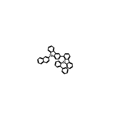 c1ccc(-c2ccccc2-n2c3ccccc3c3cccc(-c4ccc5c(c4)c4ccccc4n5-c4ccc5ccccc5c4)c32)cc1